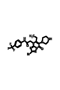 CCc1c(N2CCNCC2)c(=O)n2nc(Br)nc2n1CC(=O)Nc1ccc(C(F)(F)F)cc1